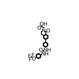 O=C(O)CN1CCc2cc(-c3ccc(NC(=O)Nc4ccc(OC(F)(F)F)cc4)cc3)ccc2C1=O